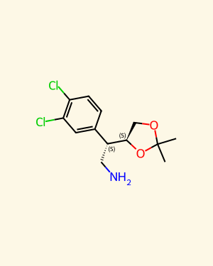 CC1(C)OC[C@H]([C@H](CN)c2ccc(Cl)c(Cl)c2)O1